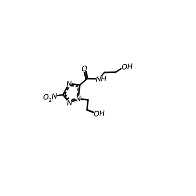 O=C(NCCO)c1nc([N+](=O)[O-])nn1CCO